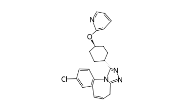 Clc1ccc2c(c1)C=CCc1nnc([C@H]3CC[C@H](Oc4ccccn4)CC3)n1-2